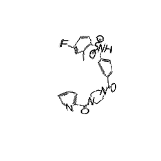 Cc1cc(F)ccc1S(=O)(=O)Nc1ccc(C(=O)N2CCN(C(=O)c3ccccn3)CC2)cc1